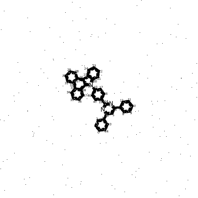 c1ccc(-c2cc(-c3ccccc3)nc(-c3ccc(-n4c5ccccc5c5c6ccccc6c6ccccc6c54)cc3)n2)cc1